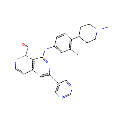 Cc1cc(Nc2nc(-c3cncnc3)cc3c2C(C=O)NC=C3)ccc1C1CCN(C)CC1